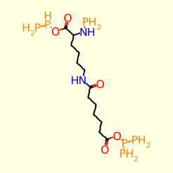 O=C(CCCCCC(=O)OP(P)P)NCCCCC(NP)C(=O)OPP